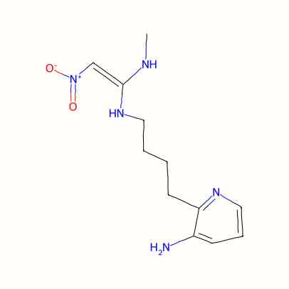 CN/C(=C/[N+](=O)[O-])NCCCCc1ncccc1N